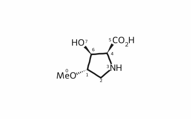 CO[C@H]1CN[C@H](C(=O)O)[C@@H]1O